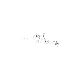 O=C(O)c1ccc2nc(Cc3cc(F)c(-c4cccc(OCc5ccc6nsnc6c5)n4)cc3F)n(C[C@@H]3CCO3)c2c1